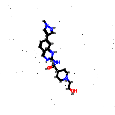 Cn1cc(-c2ccc3cnc(NC(=O)C4CCN(CCO)CC4)nc3c2)cn1